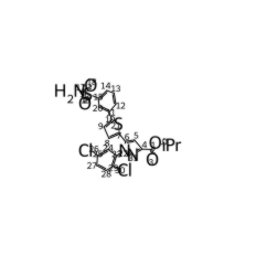 CC(C)OC(=O)c1cc(-c2ccc(-c3cccc(S(N)(=O)=O)c3)s2)n(-c2cc(Cl)ccc2Cl)n1